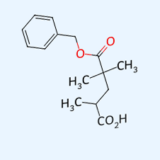 CC(CC(C)(C)C(=O)OCc1ccccc1)C(=O)O